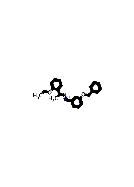 CCOc1ccccc1C(C)/N=C/c1cccc(OCc2ccccc2)c1